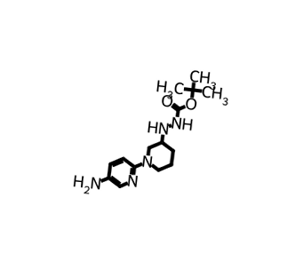 CC(C)(C)OC(=O)NNC1CCCN(c2ccc(N)cn2)C1